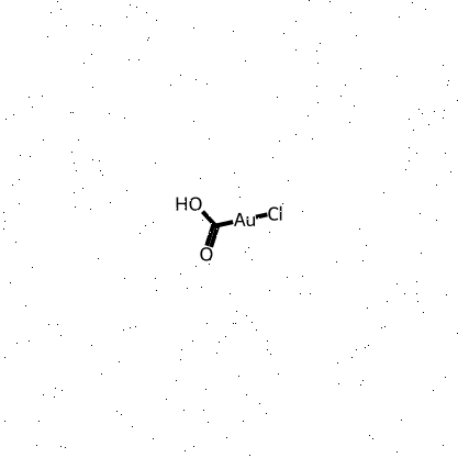 O=[C](O)[Au][Cl]